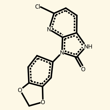 O=c1[nH]c2ccc(Cl)nc2n1-c1ccc2c(c1)OCO2